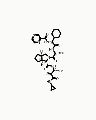 CCC[C@@H](NC(=O)[C@@H]1[C@@H]2CCC[C@H]2CN1C(=O)[C@H](NC(=O)[C@H](NC(=O)c1cnccn1)C1CCCCC1)C(C)(C)C)C(=O)C(=O)NC1CC1